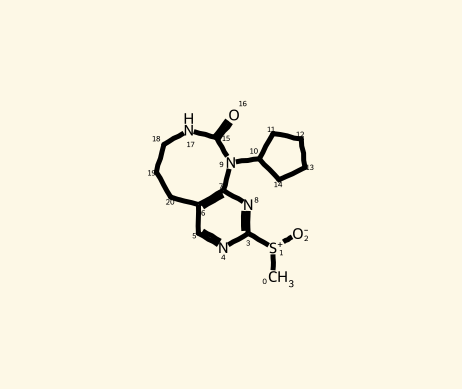 C[S+]([O-])c1ncc2c(n1)N(C1CCCC1)C(=O)NCCC2